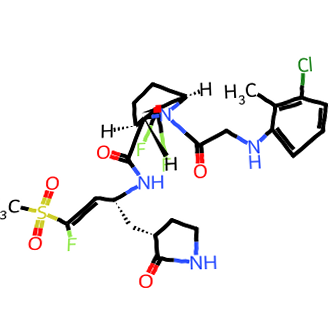 Cc1c(Cl)cccc1NCC(=O)N1[C@@H]2CC[C@H]([C@H]1C(=O)N[C@@H](/C=C(\F)S(C)(=O)=O)C[C@@H]1CCNC1=O)C(F)(F)C2